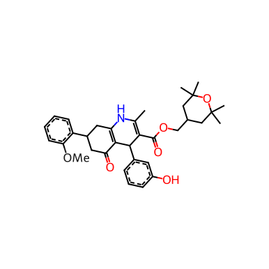 COc1ccccc1C1CC(=O)C2=C(C1)NC(C)=C(C(=O)OCC1CC(C)(C)OC(C)(C)C1)C2c1cccc(O)c1